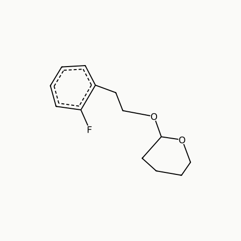 Fc1ccccc1CCOC1CCCCO1